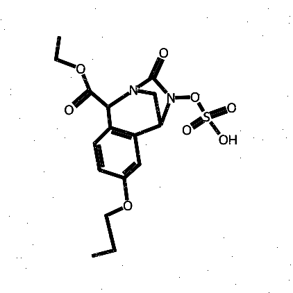 CCCOc1ccc2c(c1)C1CN(C(=O)N1OS(=O)(=O)O)C2C(=O)OCC